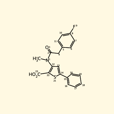 CN(C(=O)Cc1ccc(F)cc1)c1cc(-c2ccccc2)sc1C(=O)O